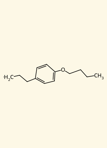 [CH2]CCc1ccc(OCCCC)cc1